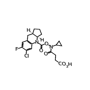 O=C(O)CCC(=O)N(OC(=O)N1c2cc(Cl)c(F)cc2C[C@H]2CCC[C@H]21)C1CC1